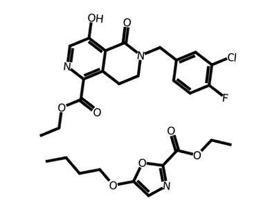 CCCCOc1cnc(C(=O)OCC)o1.CCOC(=O)c1ncc(O)c2c1CCN(Cc1ccc(F)c(Cl)c1)C2=O